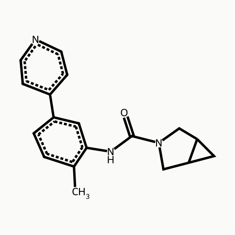 Cc1ccc(-c2ccncc2)cc1NC(=O)N1CC2CC2C1